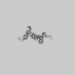 CCn1nccc1C(=O)N[C@H](C(=O)Nc1ccc(C[C@@H](NC(=O)CC2CC2)C(=O)N2CCN(C)CC2)cc1F)C1CCCCC1